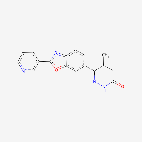 CC1CC(=O)NN=C1c1ccc2nc(-c3cccnc3)oc2c1